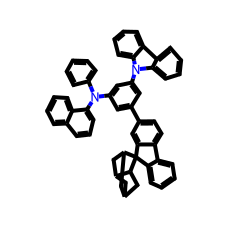 c1ccc(N(c2cc(-c3ccc4c(c3)C3(c5ccccc5-4)C4CC5CC(C4)C3C5)cc(-n3c4ccccc4c4ccccc43)c2)c2cccc3ccccc23)cc1